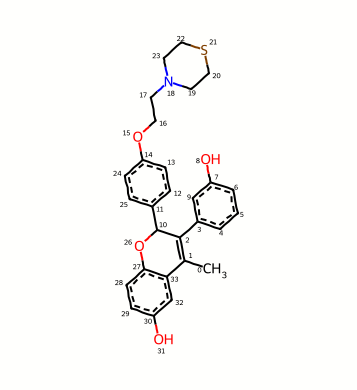 CC1=C(c2cccc(O)c2)C(c2ccc(OCCN3CCSCC3)cc2)Oc2ccc(O)cc21